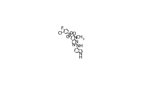 Cn1c(=O)c(S(=O)(=O)c2ccc(F)c(Cl)c2)cc2cnc(Nc3cccc4[nH]ccc34)nc21